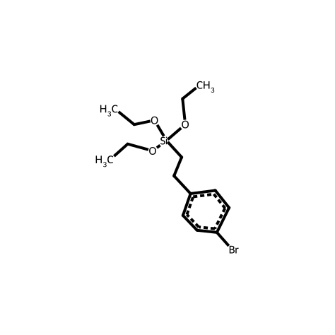 CCO[Si](CCc1ccc(Br)cc1)(OCC)OCC